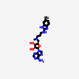 CN(CCCNc1nc2ccc(C(C)(C)C)cc2[nH]1)C[C@H]1O[C@@H](n2cnc3c(N)ncnc32)[C@H](O)[C@@H]1O